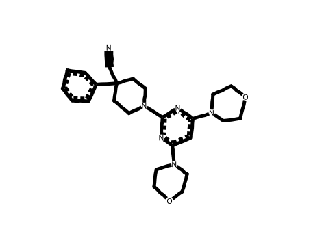 N#CC1(c2ccccc2)CCN(c2nc(N3CCOCC3)cc(N3CCOCC3)n2)CC1